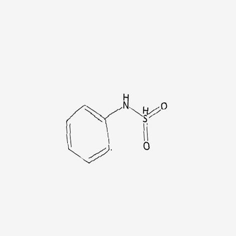 O=[SH](=O)Nc1[c]cccc1